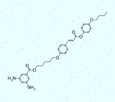 CCCCOc1ccc(OC(=O)C=Cc2ccc(OCCCCCOC(=O)c3cc(N)cc(N)c3)cc2)cc1